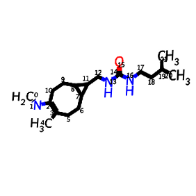 C=N/C1=C(\C)CCC2C(CC1)C2CNC(=O)NCCC(C)C